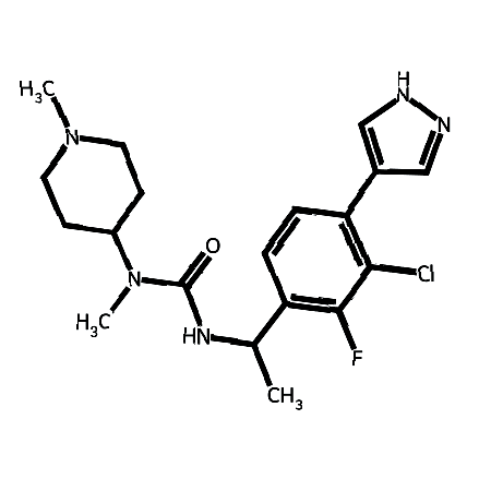 CC(NC(=O)N(C)C1CCN(C)CC1)c1ccc(-c2cn[nH]c2)c(Cl)c1F